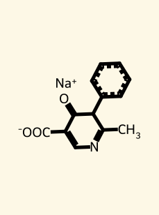 CC1=NC=C(C(=O)[O-])C(=O)C1c1ccccc1.[Na+]